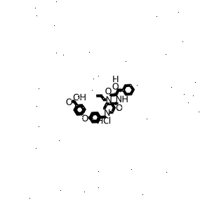 CCCN1C(=O)[C@@H]([C@H](O)C2CCCCC2)NC(=O)C12CCN(Cc1ccc(Oc3ccc(C(=O)O)cc3)cc1)CC2.Cl